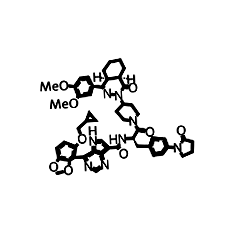 COc1ccc(C2=NN(C3CCN(C(=O)[C@@H](Cc4ccc(N5CCCC5=O)cc4)NC(=O)c4c[nH]c5c(-c6c(OCC7CC7)ccc7c6OCO7)ncnc45)CC3)C(=O)[C@@H]3CCCC[C@H]23)cc1OC